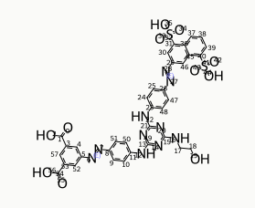 O=C(O)c1cc(/N=N/c2ccc(Nc3nc(NCCO)nc(Nc4ccc(/N=N/c5cc(S(=O)(=O)O)c6cccc(S(=O)(=O)O)c6c5)cc4)n3)cc2)cc(C(=O)O)c1